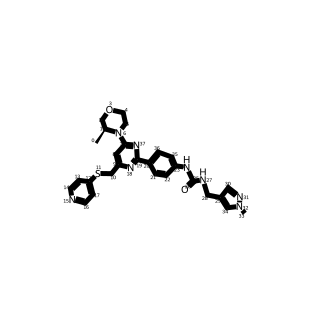 C[C@H]1COCCN1c1cc(CSc2ccncc2)nc(-c2ccc(NC(=O)NCc3cnn(C)c3)cc2)n1